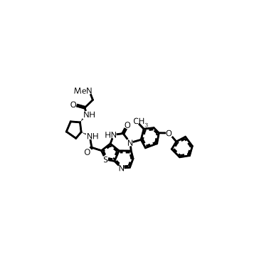 CNCC(=O)N[C@H]1CCC[C@H]1NC(=O)c1sc2nccc3c2c1NC(=O)N3c1ccc(Oc2ccccc2)cc1C